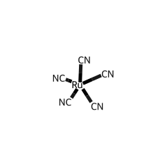 N#[C][Ru]([C]#N)([C]#N)([C]#N)[C]#N